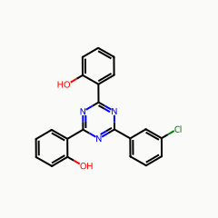 Oc1ccccc1-c1nc(-c2cccc(Cl)c2)nc(-c2ccccc2O)n1